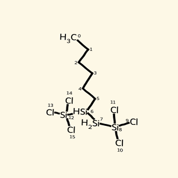 CCCCCC[SiH]([SiH2][Si](Cl)(Cl)Cl)[Si](Cl)(Cl)Cl